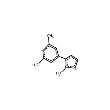 Cc1cc(-c2ccnn2C)cc(C)n1